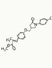 COC(=O)/C(C)=C/c1ccc(OCC2CC(=O)N(c3ccc(Cl)cc3)C2)cc1